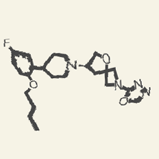 CCCCOc1ccc(F)cc1C1CCN([C@@H]2COC3(C2)CN(c2nnco2)C3)CC1